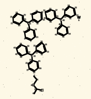 CCOC(C)Cl.[W].c1ccc(P(c2ccccc2)c2ccccc2)cc1.c1ccc(P(c2ccccc2)c2ccccc2)cc1.c1ccc(P(c2ccccc2)c2ccccc2)cc1